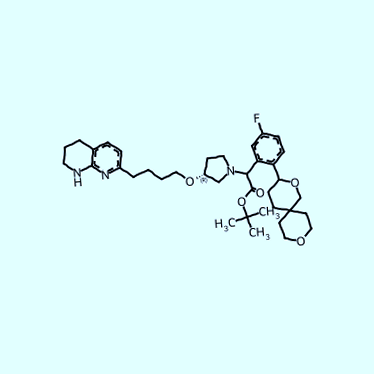 CC(C)(C)OC(=O)C(c1cc(F)ccc1C1CCC2(CCOCC2)CO1)N1CC[C@@H](OCCCCc2ccc3c(n2)NCCC3)C1